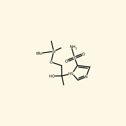 CC(O)(CO[Si](C)(C)C(C)(C)C)[SH]1C=NC=C1S(N)(=O)=O